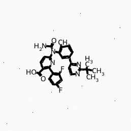 Cc1ccc(-c2ccnc(C(C)(C)C)n2)cc1N(C(N)=O)c1ccc(C(=O)O)c(-c2ccc(F)cc2F)n1